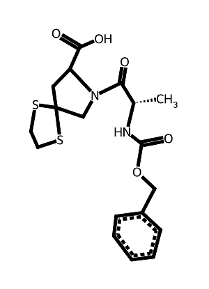 C[C@H](NC(=O)OCc1ccccc1)C(=O)N1CC2(CC1C(=O)O)SCCS2